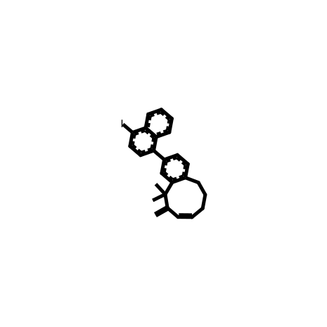 C=C1/C=C\CCCc2ccc(-c3ccc(I)c4ccccc34)cc2C1(C)C